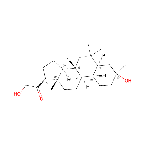 CC1(C)C[C@@H]2[C@H](CC[C@]3(C)[C@@H](C(=O)CO)CC[C@@H]23)[C@H]2CC[C@](C)(O)C[C@@H]21